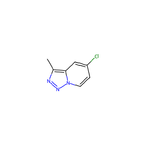 Cc1nnn2ccc(Cl)cc12